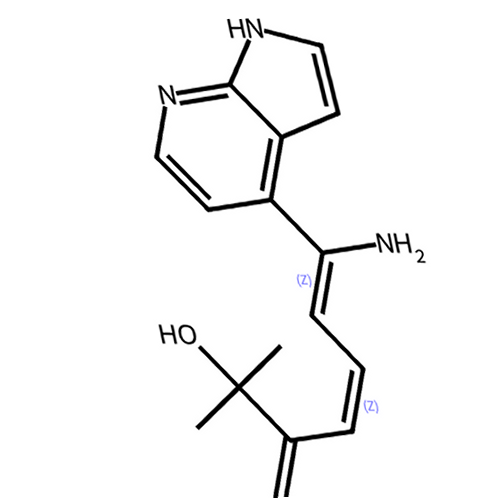 C=C(/C=C\C=C(/N)c1ccnc2[nH]ccc12)C(C)(C)O